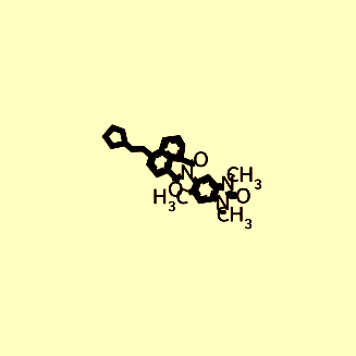 Cc1cc2c(cc1N1C(=O)c3cccc4c(CCC5CCCC5)ccc(c34)C1=O)n(C)c(=O)n2C